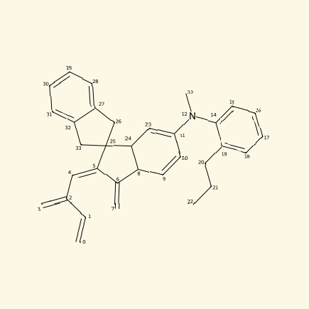 C=CC(=C)/C=C1\C(=C)C2C=CC(N(C)c3ccccc3CCC)=CC2C12Cc1ccccc1C2